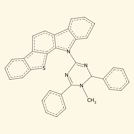 CN1C(c2ccccc2)=NC(n2c3ccccc3c3ccc4c5ccccc5sc4c32)=NC1c1ccccc1